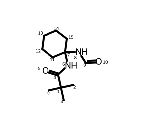 CC(C)(C)C(=O)NC1(NC=O)CCCCC1